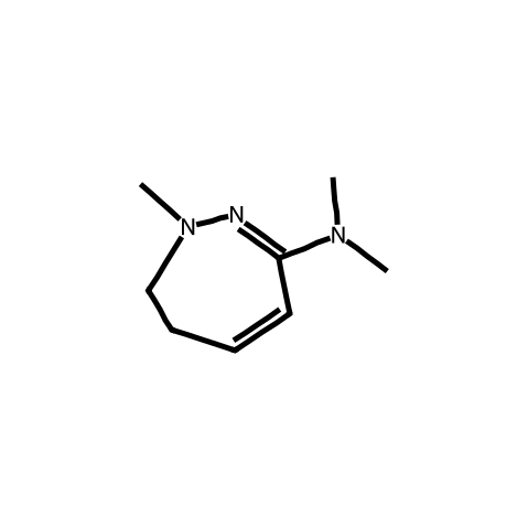 CN1CCC=CC(N(C)C)=N1